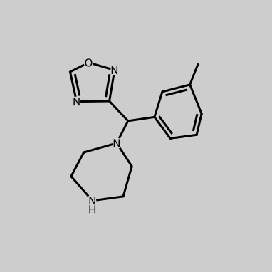 Cc1cccc(C(c2ncon2)N2CCNCC2)c1